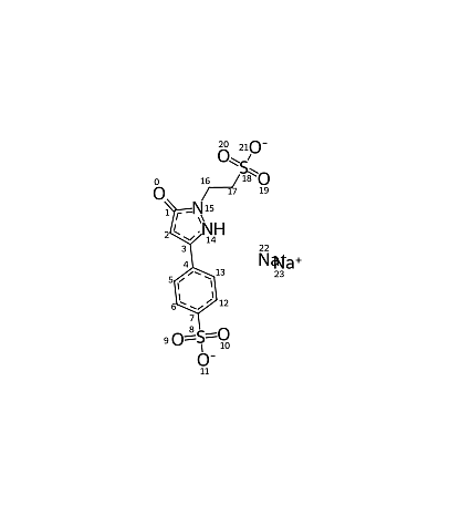 O=c1cc(-c2ccc(S(=O)(=O)[O-])cc2)[nH]n1CCS(=O)(=O)[O-].[Na+].[Na+]